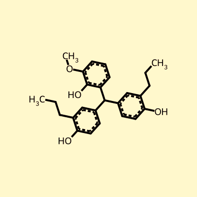 CCCc1cc(C(c2ccc(O)c(CCC)c2)c2cccc(OC)c2O)ccc1O